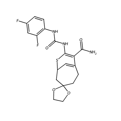 NC(=O)C1=C(NC(=O)Nc2ccc(F)cc2F)SC2C=C1CCC1(C2)OCCO1